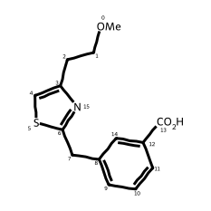 COCCc1csc(Cc2cccc(C(=O)O)c2)n1